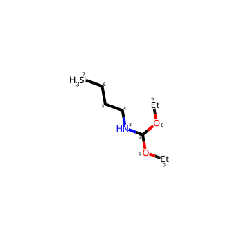 CCOC(NCCC[SiH3])OCC